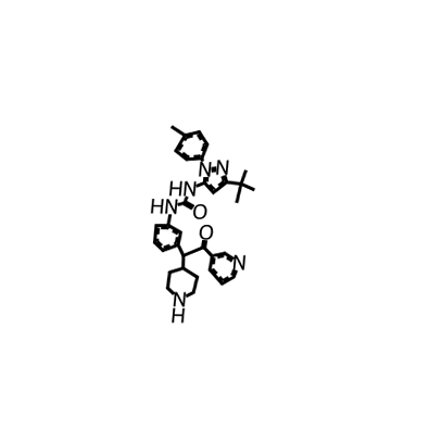 Cc1ccc(-n2nc(C(C)(C)C)cc2NC(=O)Nc2cccc(C(C(=O)c3cccnc3)C3CCNCC3)c2)cc1